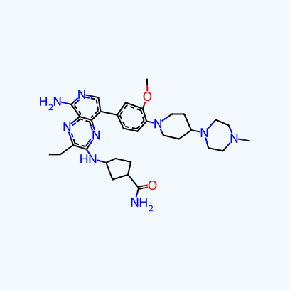 CCc1nc2c(N)ncc(-c3ccc(N4CCC(N5CCN(C)CC5)CC4)c(OC)c3)c2nc1NC1CCC(C(N)=O)C1